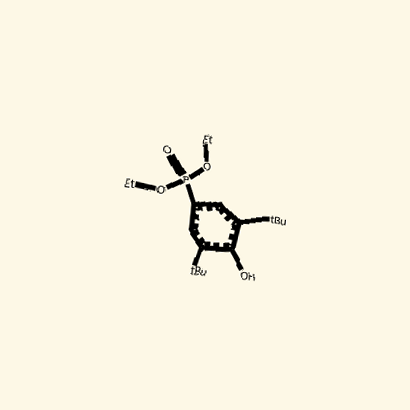 CCOP(=O)(OCC)c1cc(C(C)(C)C)c(O)c(C(C)(C)C)c1